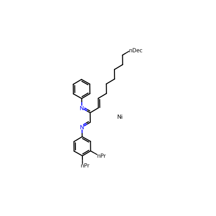 CCCCCCCCCCCCCCCCC=CC(C=Nc1ccc(CCC)c(CCC)c1)=Nc1ccccc1.[Ni]